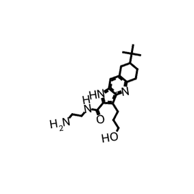 CC(C)(C)C1CCc2nc3c(CCCO)c(C(=O)NCCN)[nH]c3cc2C1